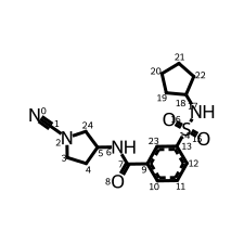 N#CN1CCC(NC(=O)c2cccc(S(=O)(=O)NC3CCCC3)c2)C1